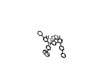 CC1(C)c2cc(N(c3ccc(C4CCCCC4)cc3)c3ccc(C45CC6CC(CC(C6)C4)C5)cc3)ccc2-c2c(-c3ccc(-c4ccccc4)cc3)cccc21